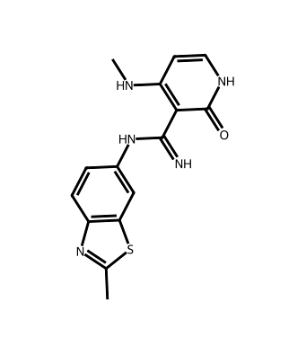 CNc1cc[nH]c(=O)c1C(=N)Nc1ccc2nc(C)sc2c1